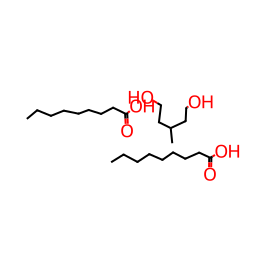 CC(CCO)CCO.CCCCCCCCC(=O)O.CCCCCCCCC(=O)O